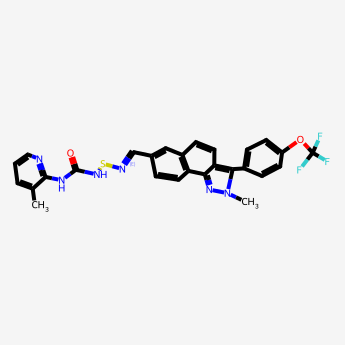 Cc1cccnc1NC(=O)NS/N=C/c1ccc2c(ccc3c(-c4ccc(OC(F)(F)F)cc4)n(C)nc32)c1